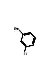 CCC(C)c1[c]c(C(C)CC)c[c]c1